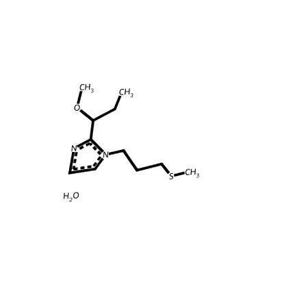 CCC(OC)c1nccn1CCCSC.O